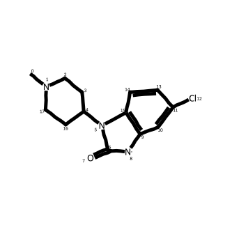 CN1CCC(N2C(=O)[N]c3cc(Cl)ccc32)CC1